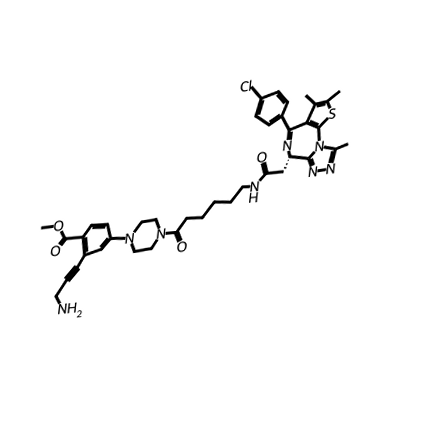 COC(=O)c1ccc(N2CCN(C(=O)CCCCCNC(=O)C[C@@H]3N=C(c4ccc(Cl)cc4)c4c(sc(C)c4C)-n4c(C)nnc43)CC2)cc1C#CCN